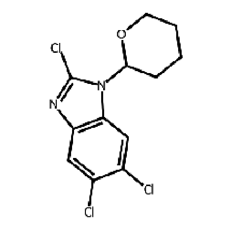 Clc1cc2nc(Cl)n(C3CCCCO3)c2cc1Cl